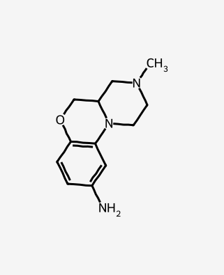 CN1CCN2c3cc(N)ccc3OCC2C1